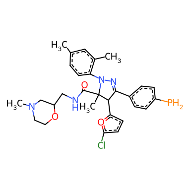 Cc1ccc(N2N=C(c3ccc(P)cc3)C(c3ccc(Cl)o3)C2(C)C(=O)NCC2CN(C)CCO2)c(C)c1